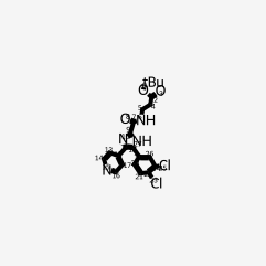 CC(C)(C)OC(=O)CCNC(=O)c1nc(-c2ccncc2)c(-c2ccc(Cl)c(Cl)c2)[nH]1